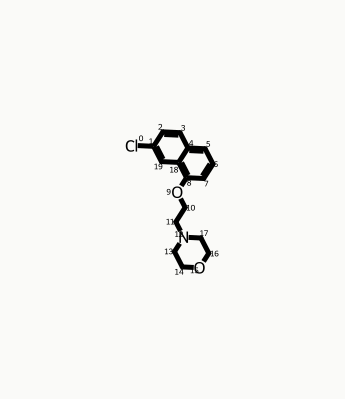 Clc1ccc2cccc(OCCN3CCOCC3)c2c1